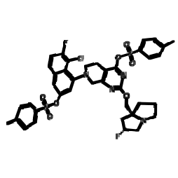 Cc1ccc(S(=O)(=O)Oc2cc(N3CCc4c(nc(OC[C@@]56CCCN5C[C@H](F)C6)nc4OS(=O)(=O)c4ccc(C)cc4)C3)c3c(Cl)c(F)ccc3c2)cc1